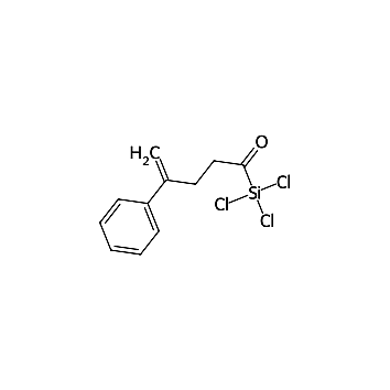 C=C(CCC(=O)[Si](Cl)(Cl)Cl)c1ccccc1